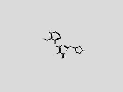 N#Cc1c(Nc2cccc(F)c2CN)nc(CC2CCCC2)[nH]c1=O